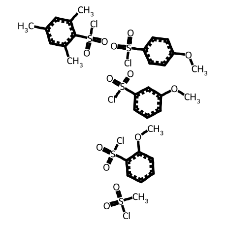 COc1ccc(S(=O)(=O)Cl)cc1.COc1cccc(S(=O)(=O)Cl)c1.COc1ccccc1S(=O)(=O)Cl.CS(=O)(=O)Cl.Cc1cc(C)c(S(=O)(=O)Cl)c(C)c1